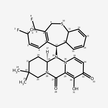 CC(F)/C=C\C1=C(CF)CSC2C=CC=CC2[C@H]1N1[C@@H]2CCC(C)(C)CN2C(=O)c2c(O)c(=O)ccn21